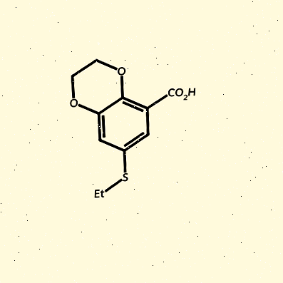 CCSc1cc2c(c(C(=O)O)c1)OCCO2